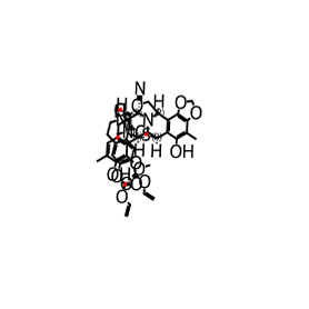 C=COC(=O)Oc1cc2c(cc1OC)[C@@]1(CS[C@@H]3c4c(O)c(C)c5c(c4[C@H](COC1=O)N1C3[C@H]3c4c(cc(C)c(O)c4OC(=O)OC=C)C[C@@H]([C@@H]1C#N)N3C)OCO5)NCC2